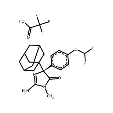 CN1C(=O)[C@@](c2ccc(OC(F)F)cc2)(C23CC4CC(CC(C4)C2)C3)N=C1N.O=C(O)C(F)(F)F